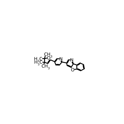 CC1(C)C=C(c2ccc(-c3cnc4c(c3)oc3ccccc34)nc2)OC1(C)C